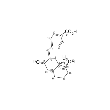 C[C@]12CC(=Cc3ccc(C(=O)O)cc3)C(=O)C=C1CCC[C@@H]2O